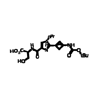 CCC[SH]1C=C(C(=O)N[C@@H](CO)C(=O)O)N=C1C12CC(NC(=O)OC(C)(C)C)(C1)C2